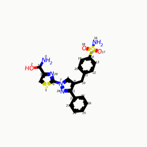 NC(O)c1csc(-n2cc(Cc3ccc(S(N)(=O)=O)cc3)c(-c3ccccc3)n2)n1